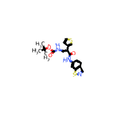 CC(C)(C)OC(=O)NCC(C(=O)Nc1ccc2cnsc2c1)c1ccsc1